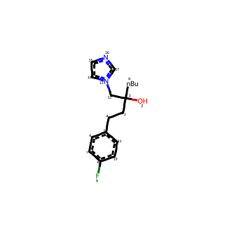 CCCCC(O)(CCc1ccc(F)cc1)Cn1ccnc1